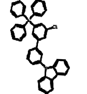 N#Cc1cc(-c2cccc(-n3c4ccccc4c4ccccc43)c2)cc([Si](c2ccccc2)(c2ccccc2)c2ccccc2)c1